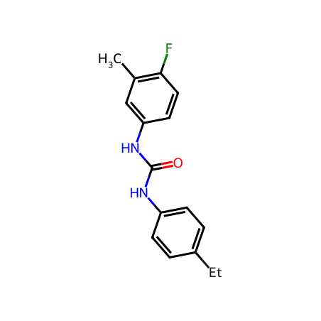 CCc1ccc(NC(=O)Nc2ccc(F)c(C)c2)cc1